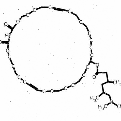 CC(CC(=O)OC1CCCCCCCC/C=C\CCCCCOC(=O)PC(=O)OCCCCC/C=C\CCCCCCCC1)CC(C)CN(C)C